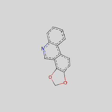 c1ccc2c(c1)ncc1c3c(ccc12)OCO3